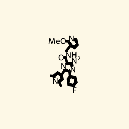 COc1ncccc1CNC(=O)c1nc(-c2cc(C)nc(C)c2)c(-c2ccc(F)cc2)nc1N